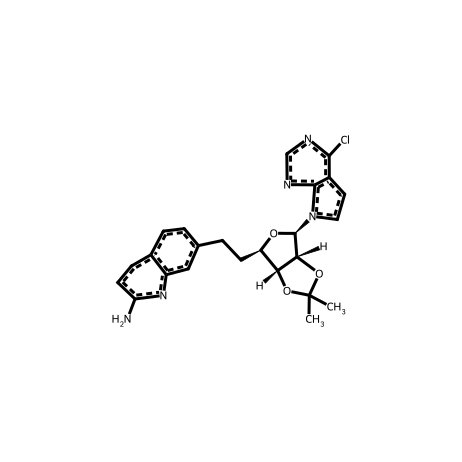 CC1(C)O[C@@H]2[C@H](O1)[C@@H](CCc1ccc3ccc(N)nc3c1)O[C@H]2n1ccc2c(Cl)ncnc21